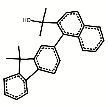 CC(C)(O)c1ccc2ccccc2c1-c1ccc2c(c1)C(C)(C)c1ccccc1-2